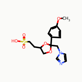 COc1ccc(C2(Cn3ccnc3)OCC(CCS(=O)(=O)O)O2)cc1